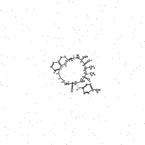 CCC[C@@H]1NC[C@H]2CCc3ccnc(c3O2)CCCNC(=O)[C@@H](Cc2ccc(O)cc2)NC(=O)[C@@H](C)N(C)C1=O